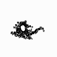 C=CCOCCCCCO[C@H]1[C@H](C)O[C@@H](O[C@H]2[C@H](C)[C@@H](O[C@@H]3O[C@H](C)C[C@H](N(C)C)[C@H]3OC(C)=O)[C@](C)(O)C[C@@H](C)CN(C)[C@H](C)[C@H]3OC(=O)O[C@]3(C)[C@@H](CC)OC(=O)[C@@H]2C)C[C@@]1(C)OC